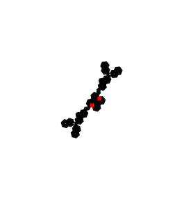 CC1(C)c2cc(/C=C/c3ccc4c(c3)C3(c5ccccc5-c5ccccc53)c3cc(/C=C/c5ccc6c(c5)C(C)(C)c5cc(N(c7ccc8ccccc8c7)c7ccc8ccccc8c7)ccc5-6)ccc3-4)ccc2-c2ccc(N(c3ccc4ccccc4c3)c3ccc4ccccc4c3)cc21